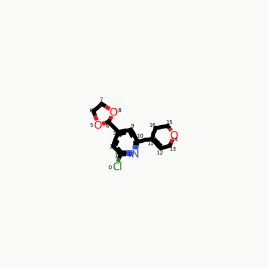 Clc1cc(C2OCCO2)cc(C2=CCOCC2)n1